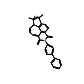 C=C(C)C1C=CC=C2C(=C)N(c3ccc(-c4ccccc4)cc3)C(=C)c3ccc(C(C)=O)c1c32